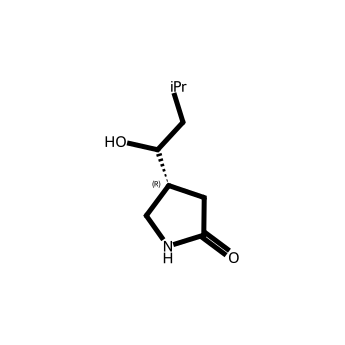 CC(C)CC(O)[C@H]1CNC(=O)C1